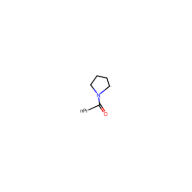 CCCC(=O)N1[CH]CCC1